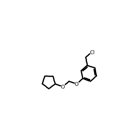 ClCc1cccc(OCOC2CCCC2)c1